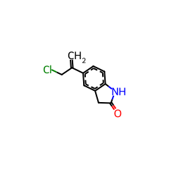 C=C(CCl)c1ccc2c(c1)CC(=O)N2